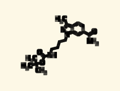 Cc1nn(CCCCNC(=O)OC(C)(C)C)c2cc(C(N)=O)ccc12